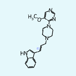 COc1cncnc1N1CCN(C/C=C/c2c[nH]c3ccccc23)CC1